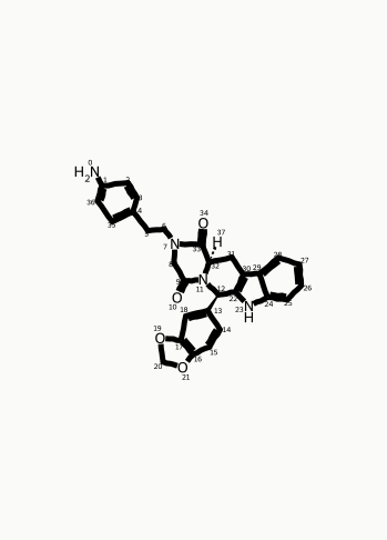 Nc1ccc(CCN2CC(=O)N3[C@H](c4ccc5c(c4)OCO5)c4[nH]c5ccccc5c4C[C@@H]3C2=O)cc1